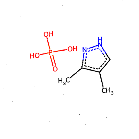 Cc1c[nH]nc1C.O=P(O)(O)O